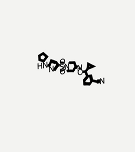 N#Cc1cccc(C(ON=C2CCN(S(=O)(=O)c3ccc(NC4CCCC4)nc3)CC2)C2CC2)c1